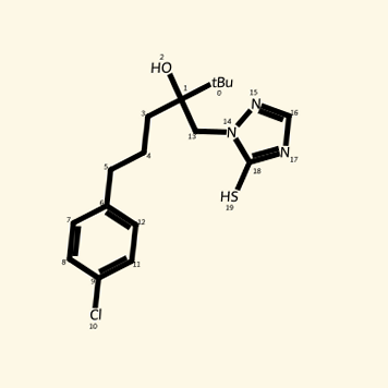 CC(C)(C)C(O)(CCCc1ccc(Cl)cc1)Cn1ncnc1S